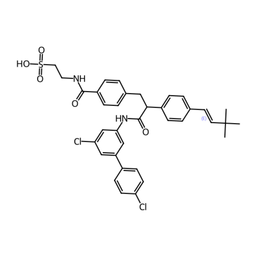 CC(C)(C)/C=C/c1ccc(C(Cc2ccc(C(=O)NCCS(=O)(=O)O)cc2)C(=O)Nc2cc(Cl)cc(-c3ccc(Cl)cc3)c2)cc1